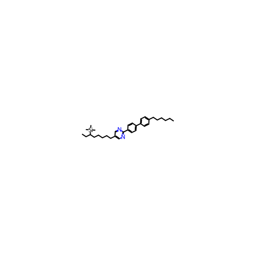 CCCCCCc1ccc(-c2ccc(-c3ncc(CCCCCC(CC)[Si](C)(C)C)cn3)cc2)cc1